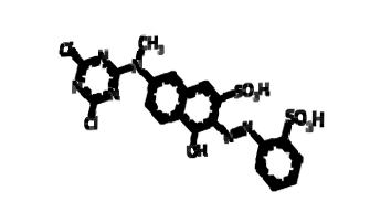 CN(c1ccc2c(O)c(N=Nc3ccccc3S(=O)(=O)O)c(S(=O)(=O)O)cc2c1)c1nc(Cl)nc(Cl)n1